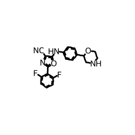 N#Cc1nc(-c2c(F)cccc2F)oc1Nc1ccc(C2CNCCO2)cc1